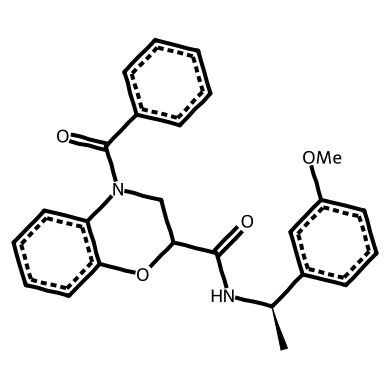 COc1cccc([C@@H](C)NC(=O)C2CN(C(=O)c3ccccc3)c3ccccc3O2)c1